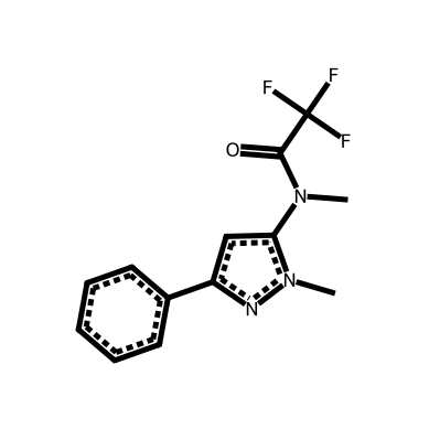 CN(C(=O)C(F)(F)F)c1cc(-c2ccccc2)nn1C